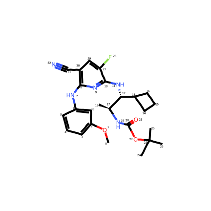 COc1cccc(Nc2nc(N[C@H](C3CCC3)[C@H](C)NC(=O)OC(C)(C)C)c(F)cc2C#N)c1